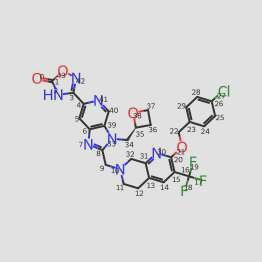 O=c1[nH]c(-c2cc3nc(CN4CCc5cc(C(F)(F)F)c(OCc6ccc(Cl)cc6)nc5C4)n(C[C@@H]4CCO4)c3cn2)no1